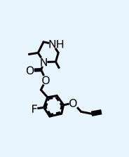 C#CCOc1ccc(F)c(COC(=O)N2C(C)CNCC2C)c1